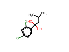 CC(C)CC(O)(O)c1ccc(Cl)cc1Cl